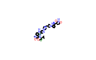 Cn1nc(C2CCC(=O)NC2=O)c2cccc(N3CCC(CN4CCN(c5cc(Nc6ccc7c(c6)c6c(c(=O)n7C)OCC(F)(F)[C@H](C7CC7)N6)c(Cl)cn5)CC4)CC3)c21